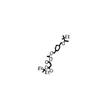 CCC(C)(CC)OC(=O)CC(=O)OC(C)OCC1CCC(COC(C)C(C)(C)CC)CC1